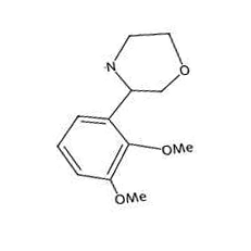 COc1cccc(C2COCC[N]2)c1OC